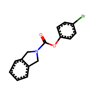 O=C(Oc1ccc(Br)cc1)N1Cc2ccccc2C1